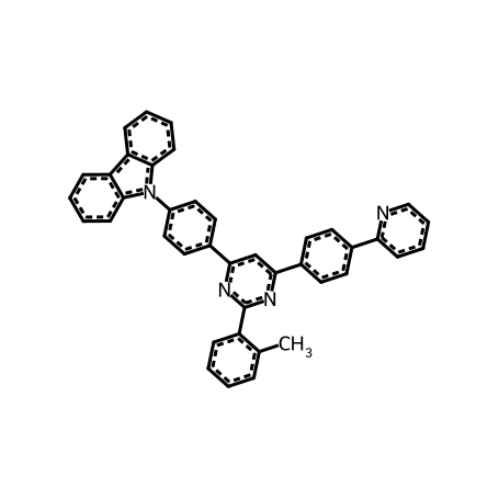 Cc1ccccc1-c1nc(-c2ccc(-c3ccccn3)cc2)cc(-c2ccc(-n3c4ccccc4c4ccccc43)cc2)n1